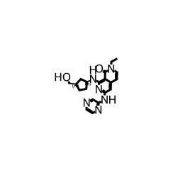 CCn1ccc2cc(Nc3cnccn3)nc(N[C@H]3CC[C@@H](CO)C3)c2c1=O